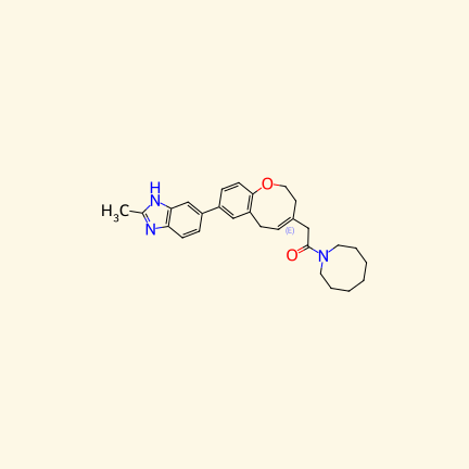 Cc1nc2ccc(-c3ccc4c(c3)C/C=C(/CC(=O)N3CCCCCCC3)CCO4)cc2[nH]1